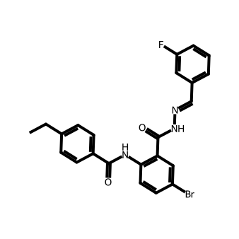 CCc1ccc(C(=O)Nc2ccc(Br)cc2C(=O)NN=Cc2cccc(F)c2)cc1